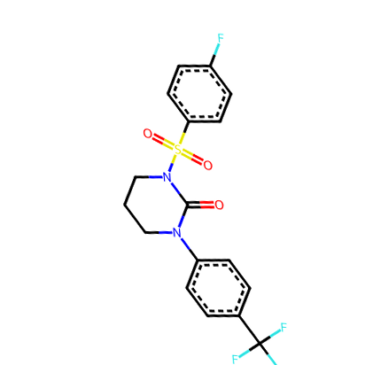 O=C1N(c2ccc(C(F)(F)F)cc2)CCCN1S(=O)(=O)c1ccc(F)cc1